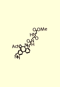 COC(=O)CNC(=O)CNC(=O)Cn1nc(C2CN(C(C)=O)C2)c2c(-c3cc4c(cnn4C)cc3F)cccc21